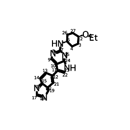 CCO[C@H]1CC[C@@H](Nc2ncc3c(-c4ccc5ncncc5c4)c[nH]c3n2)CC1